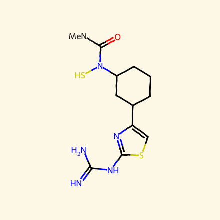 CNC(=O)N(S)C1CCCC(c2csc(NC(=N)N)n2)C1